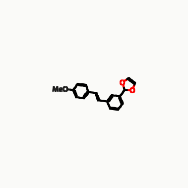 COc1ccc(C=Cc2cccc(C3OC=CO3)c2)cc1